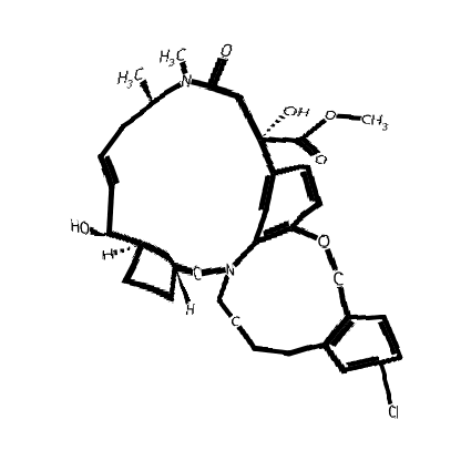 COC(=O)[C@]1(O)CC(=O)N(C)[C@H](C)C/C=C/[C@H](O)[C@@H]2CC[C@H]2CN2CCCCc3cc(Cl)ccc3COc3ccc1cc32